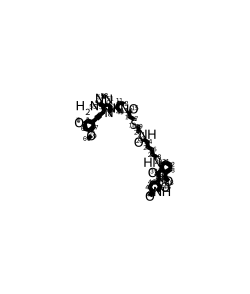 COc1cc(C#Cc2nn([C@H]3CCN(C(=O)CCSCCNC(=O)CCCCCNc4cccc5c4C(=O)N(C4CCC(=O)NC4=O)C5=O)C3)c3ncnc(N)c23)cc(OC)c1